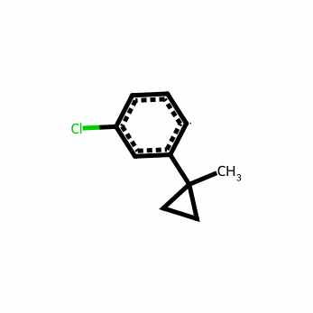 CC1(c2[c]ccc(Cl)c2)CC1